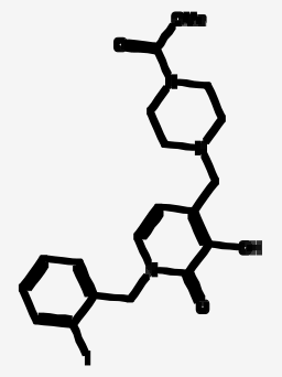 COC(=O)N1CCN(Cc2ccn(Cc3ccccc3I)c(=O)c2O)CC1